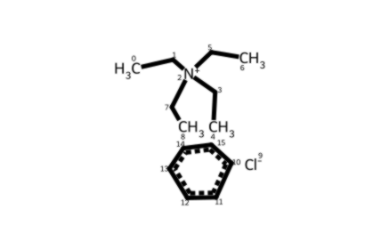 CC[N+](CC)(CC)CC.[Cl-].c1ccccc1